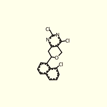 Clc1nc(Cl)c2c(n1)CC(c1cccc3cccc(Cl)c13)OC2